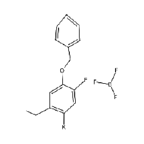 CCc1cc(OCc2ccccc2)c(F)c[c]1[K].FB(F)F